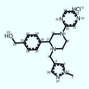 Cl.Cn1cc(CN2CCN(c3cnccn3)CC2c2ccc(CO)cc2)cn1